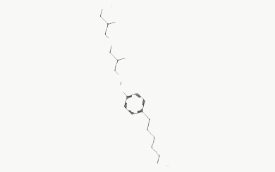 CCCCCCCCCCCCCCCc1ccc(OOCC(O)COCC(O)CO)cc1